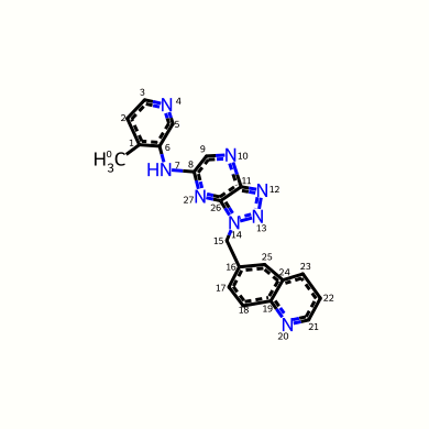 Cc1ccncc1Nc1cnc2nnn(Cc3ccc4ncccc4c3)c2n1